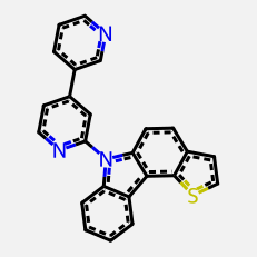 c1cncc(-c2ccnc(-n3c4ccccc4c4c5sccc5ccc43)c2)c1